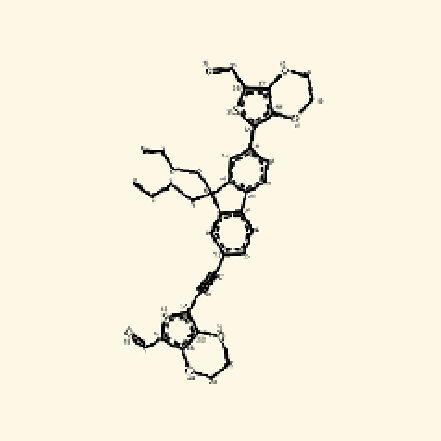 CCCCC1(CCCC)c2cc(C#Cc3sc(C=O)c4c3OCCO4)ccc2-c2ccc(-c3sc(C=O)c4c3OCCO4)cc21